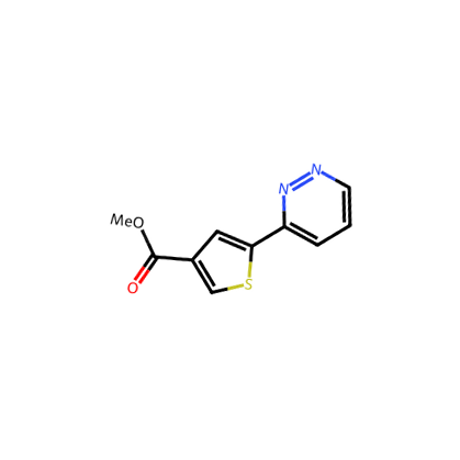 COC(=O)c1csc(-c2cccnn2)c1